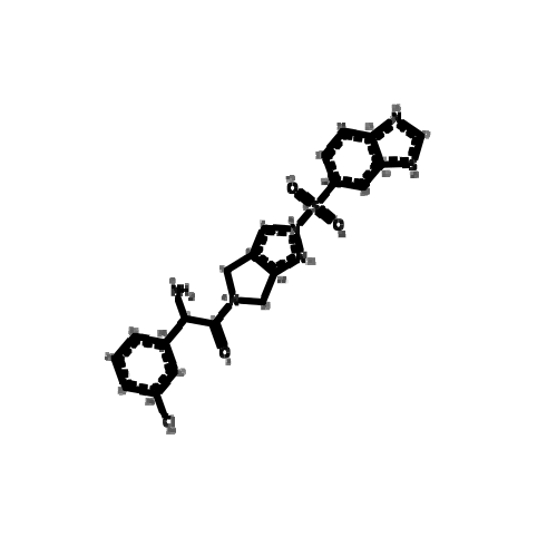 NC(C(=O)N1Cc2cn(S(=O)(=O)c3ccc4ncsc4c3)nc2C1)c1cccc(Cl)c1